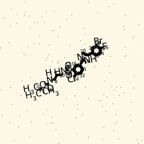 CC(C)(C)OC(=O)NCCCNS(=O)(=O)c1cc(-c2ncc(-c3ccc(F)c(Br)c3)[nH]2)ccc1Cl